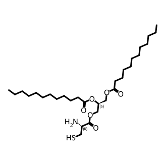 CCCCCCCCCCCC(=O)OC[C@@H](COC(=O)[C@@H](N)CS)OC(=O)CCCCCCCCCCC